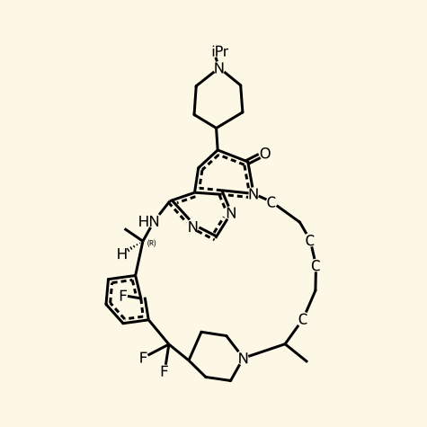 CC(C)N1CCC(c2cc3c4ncnc3n(c2=O)CCCCCCC(C)N2CCC(CC2)C(F)(F)c2cccc(c2F)[C@@H](C)N4)CC1